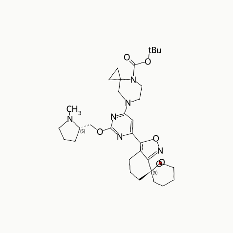 CN1CCC[C@H]1COc1nc(-c2onc3c2CCC[C@@]32CCCCC23OCCO3)cc(N2CCN(C(=O)OC(C)(C)C)C3(CC3)C2)n1